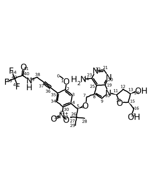 COc1cc([C@@H](OCc2cn([C@H]3C[C@@H](O)[C@@H](CO)O3)c3ncnc(N)c23)C(C)(C)C)c([N+](=O)[O-])cc1C#CCNC(=O)C(F)(F)F